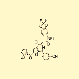 CCN(C(=O)Cn1nc(-c2cccc(C#N)c2)c2oc(C(=O)N3CCCC34CC4)cc2c1=O)c1ccc2c(c1)OC(F)(F)O2